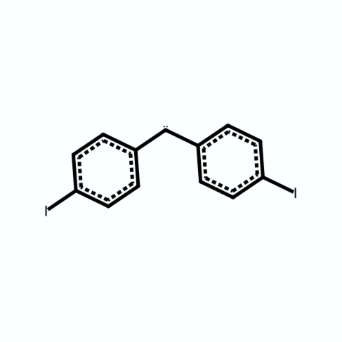 Ic1ccc([C]c2ccc(I)cc2)cc1